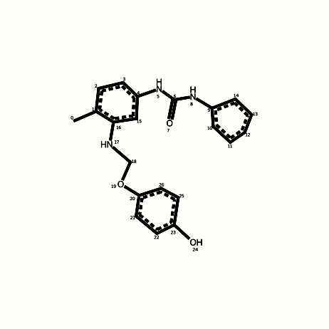 Cc1ccc(NC(=O)Nc2ccccc2)cc1NCOc1ccc(O)cc1